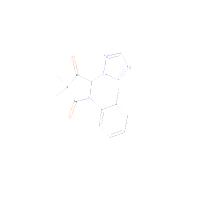 Cc1ccccc1N1C(=O)C(C)(C)C(=O)C1n1cncn1